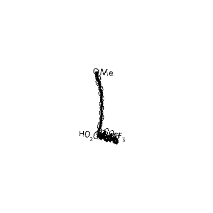 COCCOCCOCCOCCOCCOCCOCCOCCOCCOCCOCCOC(C[C@H]1CN(c2ccc3cc(-c4ccccc4C(F)(F)F)[nH]c(=O)c3c2)C(=O)O1)C(=O)O